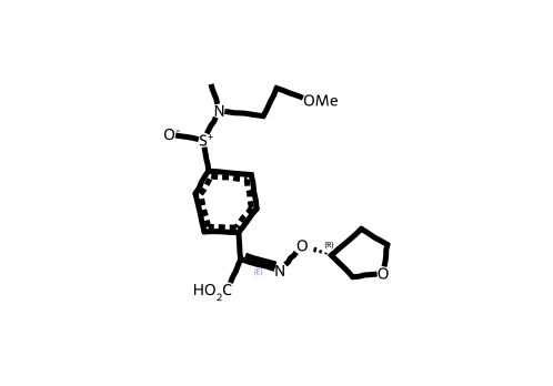 COCCN(C)[S+]([O-])c1ccc(/C(=N\O[C@@H]2CCOC2)C(=O)O)cc1